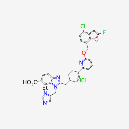 CCn1cncc1Cn1c(CC2CC=C(c3cccc(OCc4ccc(Cl)c5cc(F)oc45)n3)CC2)nc2ccc(C(=O)O)cc21.Cl